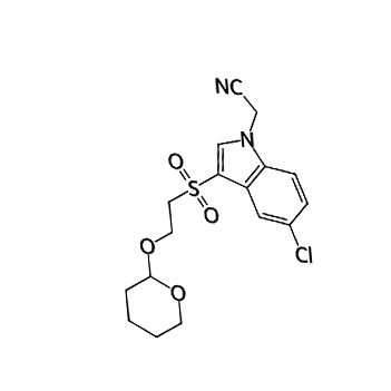 N#CCn1cc(S(=O)(=O)CCOC2CCCCO2)c2cc(Cl)ccc21